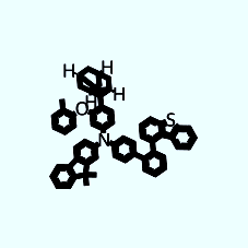 Cc1ccccc1Oc1cc(N(c2ccc(-c3ccccc3-c3cccc4sc5ccccc5c34)cc2)c2ccc3c(c2)C(C)(C)c2ccccc2-3)ccc1C1[C@H]2C[C@@H]3C[C@@H](C[C@@H]1C3)C2